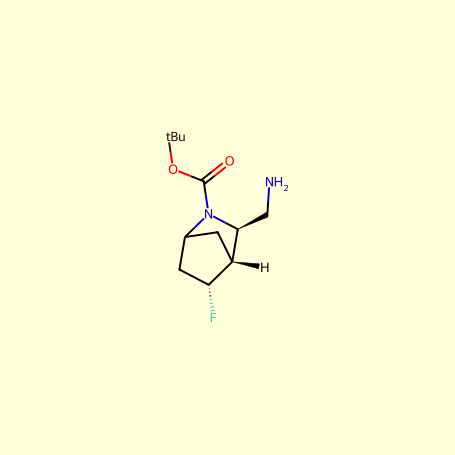 CC(C)(C)OC(=O)N1C2C[C@@H]([C@H](F)C2)[C@@H]1CN